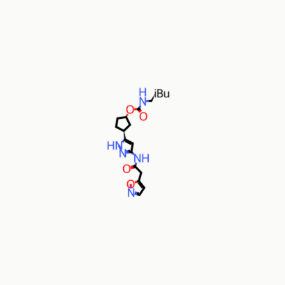 CC[C@H](C)CNC(=O)O[C@@H]1CC[C@H](c2cc(NC(=O)Cc3ccno3)n[nH]2)C1